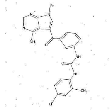 Cc1cc(Cl)ccc1NC(=O)Nc1cccc(C(=O)c2cn(C(C)C)c3ncnc(N)c23)c1